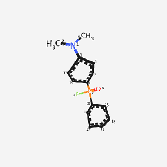 CN(C)c1ccc(P(=O)(F)c2ccccc2)cc1